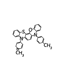 Cc1ccc(-n2c3ccccc3oc3c4sc5ccccc5n(C5=CC[C@@H](C)C=C5)c4ccc32)cc1